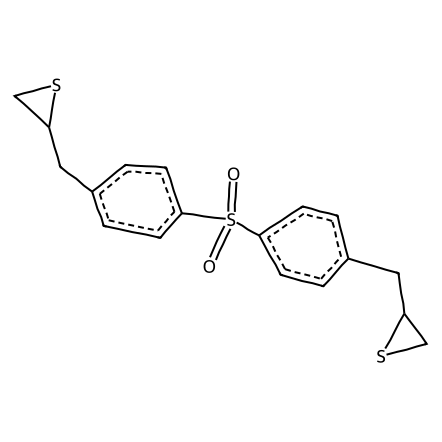 O=S(=O)(c1ccc(CC2CS2)cc1)c1ccc(CC2CS2)cc1